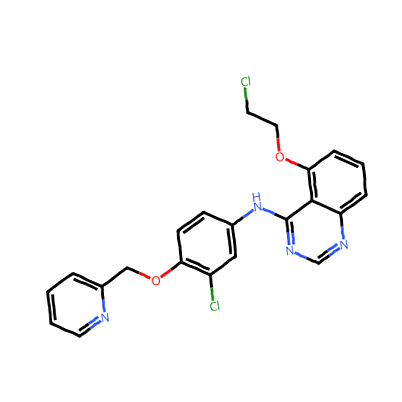 ClCCOc1cccc2ncnc(Nc3ccc(OCc4ccccn4)c(Cl)c3)c12